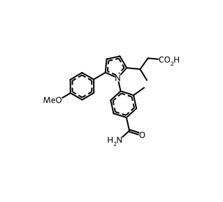 COc1ccc(-c2ccc(C(C)CC(=O)O)n2-c2ccc(C(N)=O)cc2C)cc1